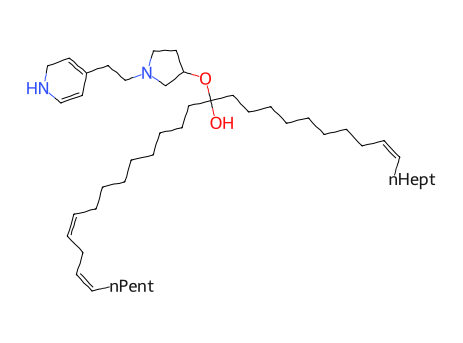 CCCCC/C=C\C/C=C\CCCCCCCCC(O)(CCCCCCCC/C=C\CCCCCCC)OC1CCN(CCC2=CCNC=C2)C1